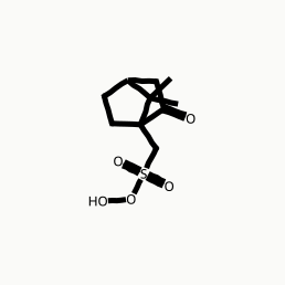 CC1(C)C2CCC1(CS(=O)(=O)OO)C(=O)C2